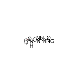 O=C(Nc1ccccc1)c1ccc(-c2nc3cc(NC(=O)C45CC6CC(CC(C6)C4)C5)ccc3[nH]2)cc1